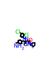 Cc1c(C(=O)NN2CCCCC2)nn(-c2ccc(Cl)cc2Cl)c1-c1ccc(CN)cc1